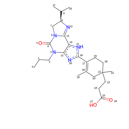 CCCN1C(=O)N2C[C@@H](C(C)C)N=C2c2[nH]c(C3=C(C)CC(C)(CCC(=O)O)CC3)nc21